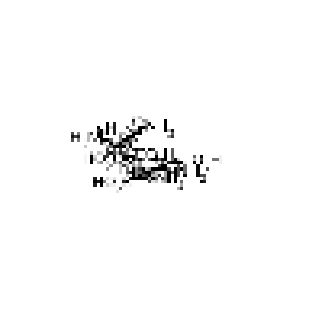 NC(=O)CC[C@H](N)C(=O)OC(=O)[C@@H](N)CC(N)=O.N[C@@H](CC(=O)O)C(=O)O.N[C@@H](CCC(=O)O)C(=O)O.N[C@@H](COC(=O)[C@@H](N)CS)C(=O)O